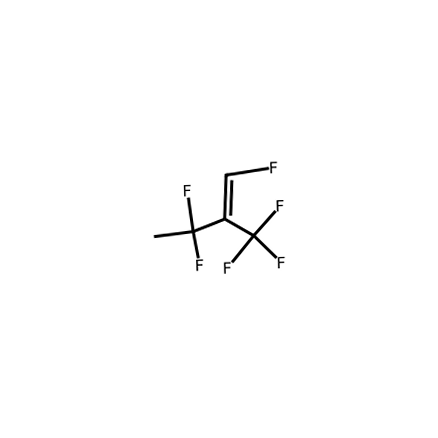 CC(F)(F)C(=CF)C(F)(F)F